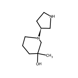 CC1(O)CCCN([C@H]2CCNC2)C1